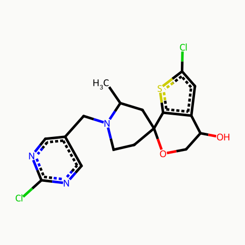 CC1CC2(CCN1Cc1cnc(Cl)nc1)OCC(O)c1cc(Cl)sc12